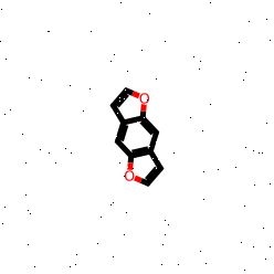 c1cc2cc3occc3cc2o1